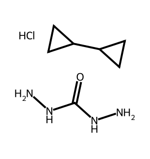 C1CC1C1CC1.Cl.NNC(=O)NN